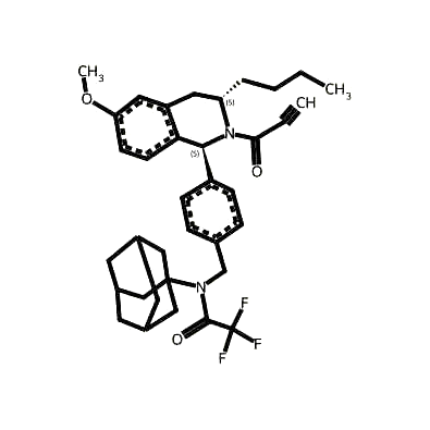 C#CC(=O)N1[C@@H](CCCC)Cc2cc(OC)ccc2[C@@H]1c1ccc(CN(C(=O)C(F)(F)F)C23CC4CC(CC(C4)C2)C3)cc1